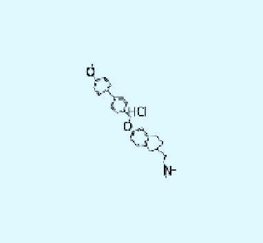 COc1ccc(-c2ccc(COc3ccc4c(c3)CCC(CCN(C)C)C4)cc2)cc1.Cl